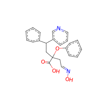 O=C(O)C(CC=NO)(CC(c1ccccc1)c1cccnc1)Oc1ccccc1